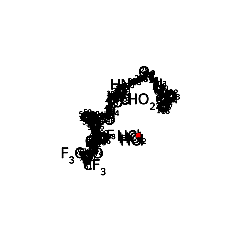 CN(CCN1CCC(N(C(=O)O)c2ccccc2-c2ccccc2)CC1)C(=O)CCCCCNc1ccc(C(=O)N(C)CCCN(C)C(=O)CO[C@H]2Cc3ccccc3C23CCN(CC[C@@]2(c4ccc(F)cc4)CN(C(=O)c4cc(C(F)(F)F)cc(C(F)(F)F)c4)CO2)CC3)c(Cl)c1.Cl.Cl.Cl